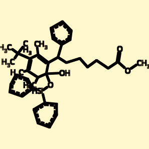 COC(=O)CCCCCC(C1=C(C)C(C(C)(C)C)=C(C)C(C)C1(O)O[SiH](c1ccccc1)c1ccccc1)c1ccccc1